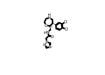 O=C(Cn1cncn1)NC[C@H]1OCCNC[C@@H]1c1ccc(Cl)c(Cl)c1